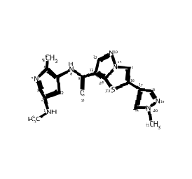 CNc1cnc(C)c(NC(=O)c2cnn3cc(-c4cnn(C)c4)sc23)c1